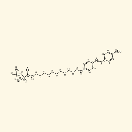 CCCCc1ccc(/N=N/c2ccc(OCCCCCCCCCCCOC(=O)C(C)(Br)CC(C)(C)C(C)=O)cc2)cc1